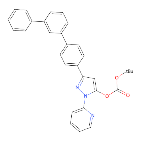 CC(C)(C)OC(=O)Oc1cc(-c2ccc(-c3cccc(-c4ccccc4)c3)cc2)nn1-c1ccccn1